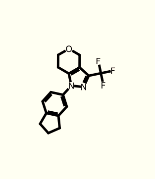 FC(F)(F)c1nn(-c2ccc3c(c2)CCC3)c2c1COCC2